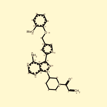 C=CC(=O)N1CCCC(n2nc(-c3cc(COc4ccccc4OC)cs3)c3c(N)ncnc32)C1